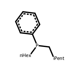 CCCCCCP(CC(C)CCC)c1ccccc1